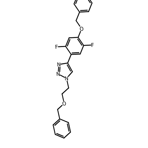 Fc1cc(-c2cn(CCOCc3ccccc3)nn2)c(F)cc1OCc1ccccc1